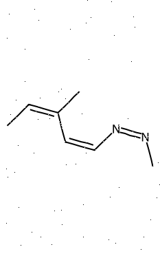 C\C=C(C)/C=C\N=N/C